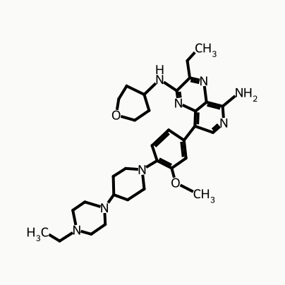 CCc1nc2c(N)ncc(-c3ccc(N4CCC(N5CCN(CC)CC5)CC4)c(OC)c3)c2nc1NC1CCOCC1